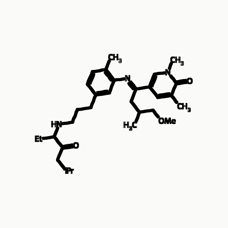 CCC(NCCCc1ccc(C)c(/N=C(\CC(C)COC)c2cc(C)c(=O)n(C)c2)c1)C(=O)CC(C)C